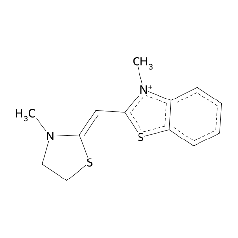 CN1CCS/C1=C\c1sc2ccccc2[n+]1C